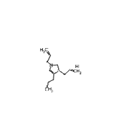 C=CCN1C=C(CCC)N(CC=C)C1.I